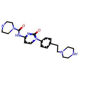 O=C(Nc1ccn(-c2ccc(CCN3CCNCC3)cc2)c(=O)n1)N1CCNCC1